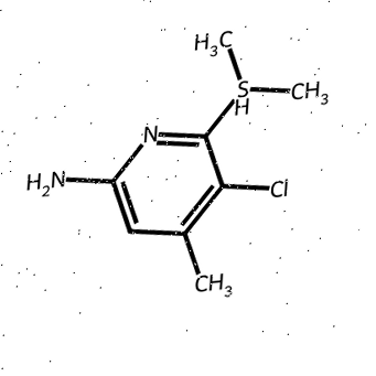 Cc1cc(N)nc([SH](C)C)c1Cl